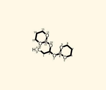 CCC(OB1OCCCO1)OB1OCCCO1